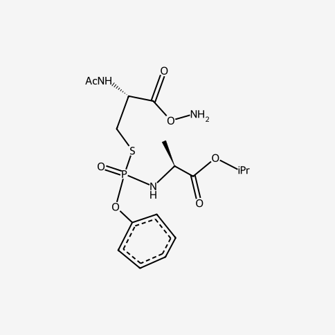 CC(=O)N[C@@H](CSP(=O)(N[C@@H](C)C(=O)OC(C)C)Oc1ccccc1)C(=O)ON